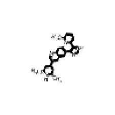 Cc1cccc(-c2[nH]cnc2-c2ccc3ncc(C4=C[C@H](C)N[C@H](C)C4)cc3c2)n1